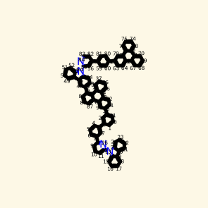 c1cc(-c2cccc(-c3cccc(-n4c5ccccc5c5ccccc54)n3)c2)cc(-c2ccc3c4ccccc4c4c(-c5ccc6c(c5)c5ccccc5n6-c5cc(-c6ccc(-c7ccc8c9ccccc9c9ccccc9c8c7)cc6)ccn5)cccc4c3c2)c1